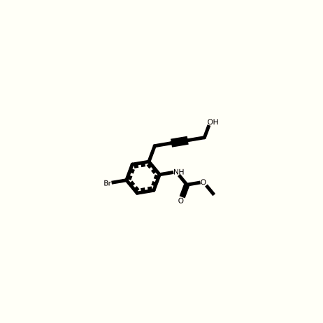 COC(=O)Nc1ccc(Br)cc1CC#CCO